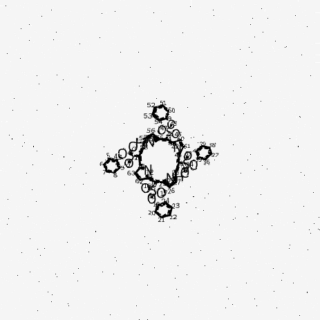 O=S(=O)(Oc1ccccc1)c1c2nc(c(S(=O)(=O)Oc3ccccc3)c3ccc([nH]3)c(S(=O)(=O)Oc3ccccc3)c3nc(c(S(=O)(=O)Oc4ccccc4)c4ccc1[nH]4)C=C3)C=C2